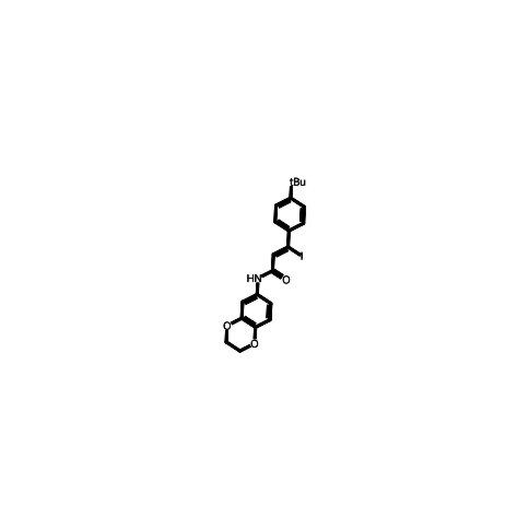 CC(C)(C)c1ccc(/C(I)=C/C(=O)Nc2ccc3c(c2)OCCO3)cc1